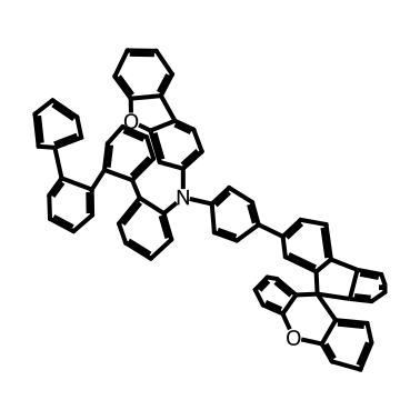 c1ccc(-c2ccccc2-c2ccccc2-c2ccccc2N(c2ccc(-c3ccc4c(c3)C3(c5ccccc5Oc5ccccc53)c3ccccc3-4)cc2)c2ccc3c(c2)oc2ccccc23)cc1